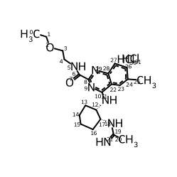 CCOCCNC(=O)c1nc(N[C@H]2CCCC[C@H]2NC(C)=N)c2cc(C)ccc2n1.Cl.Cl